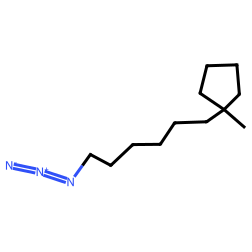 CC1(CCCCCCN=[N+]=[N-])CCCC1